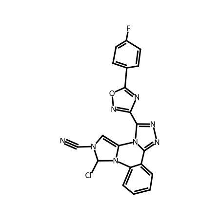 N#CN1C=C2N(c3ccccc3-c3nnc(-c4noc(-c5ccc(F)cc5)n4)n32)C1Cl